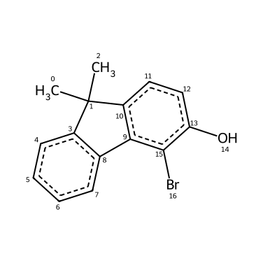 CC1(C)c2ccccc2-c2c1ccc(O)c2Br